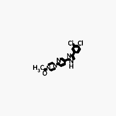 CC(=O)N1CCN(c2ccc(-c3nc(-c4ccc(Cl)c(Cl)c4)c[nH]3)cn2)CC1